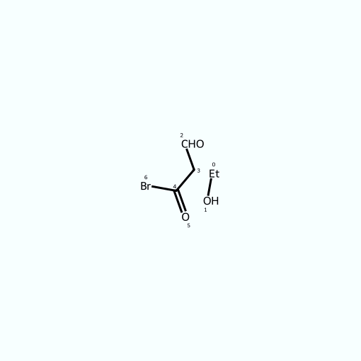 CCO.O=CCC(=O)Br